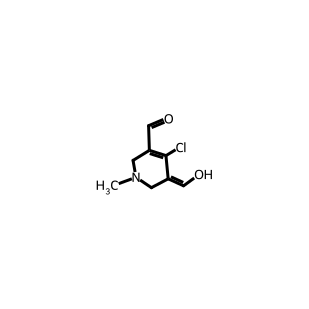 CN1CC(C=O)=C(Cl)/C(=C\O)C1